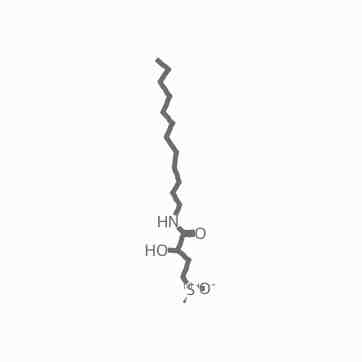 CCCCCCCCCCCCNC(=O)C(O)CC[S@@+](C)[O-]